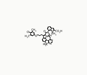 Cc1cc(OCCCc2c3n4c5c(c(Cl)ccc25)-c2c(C)ncnc2C[C@@H]4CN(c2cccc4cc(C(=O)O)n(C)c24)C3=O)cc(C)c1Cl